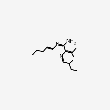 CCC/C=C/N=C(/N)C(/N=C\C(C)CC)=C(C)C